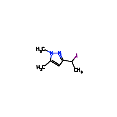 Cc1cc(C(C)I)nn1C